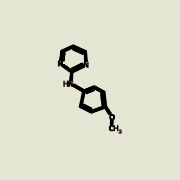 COc1ccc(Nc2ncccn2)cc1